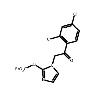 CCOC(=O)Oc1nccn1CC(=O)c1ccc(Cl)cc1Cl